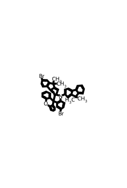 CC1(C)c2ccccc2-c2ccc(N3c4ccc(Br)cc4C4(c5ccccc5Oc5ccccc54)c4cc5c(cc43)C(C)(C)c3cc(Br)ccc3-5)cc21